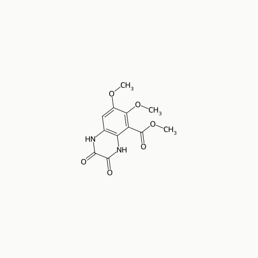 COC(=O)c1c(OC)c(OC)cc2[nH]c(=O)c(=O)[nH]c12